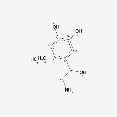 Cl.NCC(O)c1ccc(O)c(O)c1.O